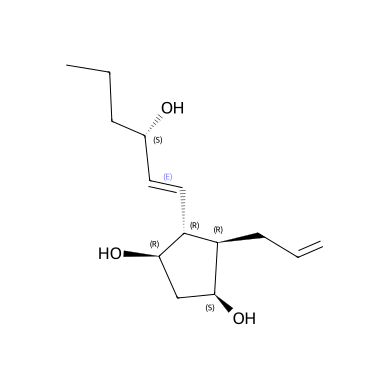 C=CC[C@@H]1[C@@H](/C=C/[C@@H](O)CCC)[C@H](O)C[C@@H]1O